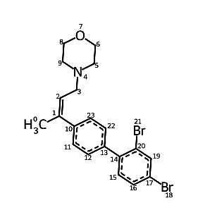 CC(=CCN1CCOCC1)c1ccc(-c2ccc(Br)cc2Br)cc1